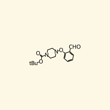 CC(C)(C)OC(=O)N1CCN(Oc2ccccc2C=O)CC1